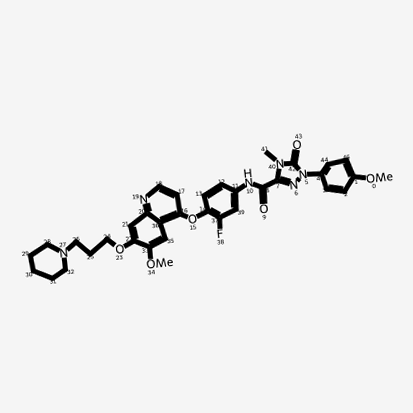 COc1ccc(-n2nc(C(=O)Nc3ccc(Oc4ccnc5cc(OCCCN6CCCCC6)c(OC)cc45)c(F)c3)n(C)c2=O)cc1